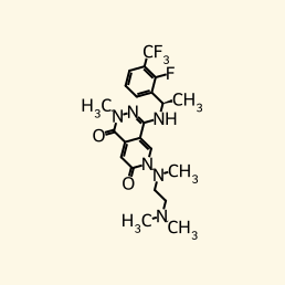 C[C@@H](Nc1nn(C)c(=O)c2cc(=O)n(N(C)CCN(C)C)cc12)c1cccc(C(F)(F)F)c1F